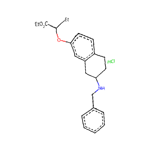 CCOC(=O)C(CC)Oc1ccc2c(c1)CC(NCc1ccccc1)CC2.Cl